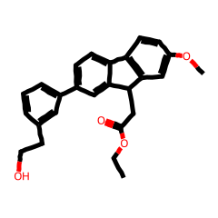 CCOC(=O)CC1c2cc(OC)ccc2-c2ccc(-c3cccc(CCO)c3)cc21